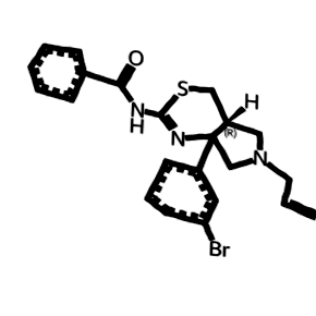 C=CCN1C[C@H]2CSC(NC(=O)c3ccccc3)=NC2(c2cccc(Br)c2)C1